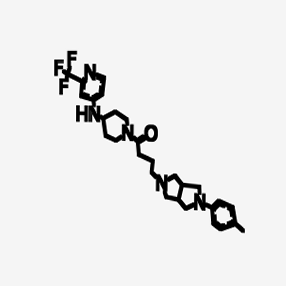 Cc1ccc(N2CC3CN(CCCC(=O)N4CCC(Nc5ccnc(C(F)(F)F)c5)CC4)CC3C2)cc1